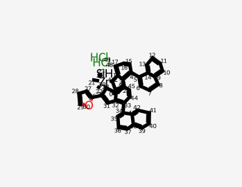 CC1=Cc2c(-c3cccc4ccccc34)cccc2[CH]1[Zr]([CH3])([CH3])(=[SiH2])[CH]1C(c2ccco2)=Cc2c(-c3cccc4ccccc34)cccc21.Cl.Cl